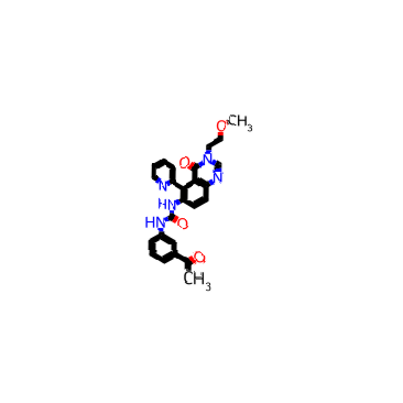 COCCn1cnc2ccc(NC(=O)Nc3cccc(C(C)=O)c3)c(-c3ccccn3)c2c1=O